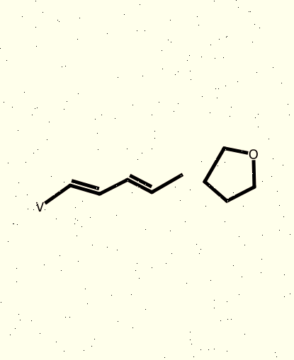 C1CCOC1.CC=CC=[CH][V]